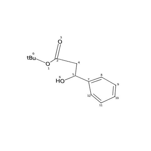 CC(C)(C)OC(=O)CC(O)c1ccccc1